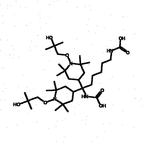 CC(C)(O)CON1C(C)(C)CC(C(CCCCCNC(=O)O)(NC(=O)O)C2CC(C)(C)N(OCC(C)(C)O)C(C)(C)C2)CC1(C)C